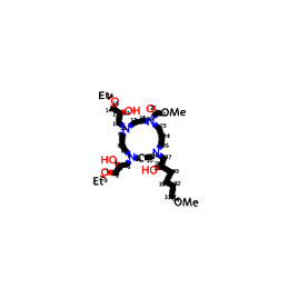 CCOCC(O)CN1CCCN(CC(O)COCC)CCN(C(=O)OC)CCCN(CC(O)CCCCOC)CC1